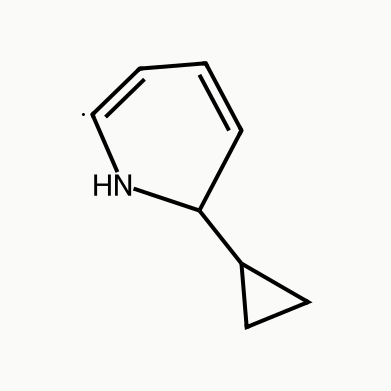 [C]1=CC=CC(C2CC2)N1